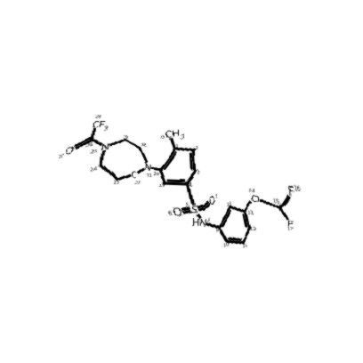 Cc1ccc(S(=O)(=O)Nc2cccc(OC(F)F)c2)cc1N1CCCN(C(=O)C(F)(F)F)CC1